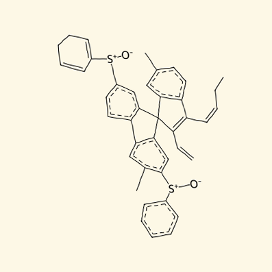 C=CC1=C(/C=C\CC)c2ccc(C)cc2C12c1cc([S+]([O-])C3=CCCC=C3)ccc1-c1cc(C)c([S+]([O-])c3ccccc3)cc12